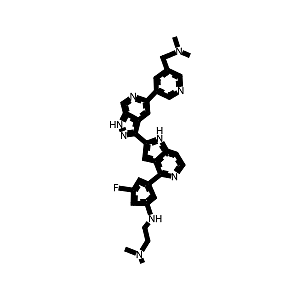 CN(C)CCNc1cc(F)cc(-c2nccc3[nH]c(-c4n[nH]c5cnc(-c6cncc(CN(C)C)c6)cc45)cc23)c1